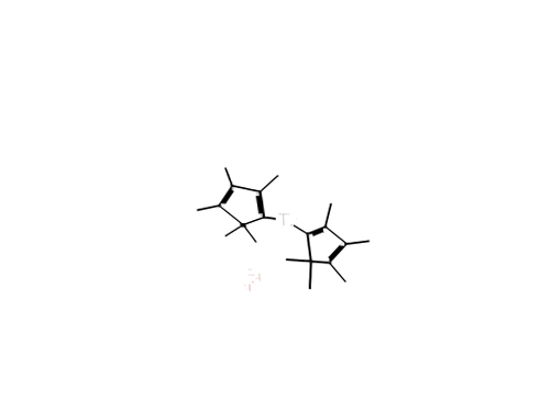 CC1=C(C)C(C)(C)[C]([Ti+2][C]2=C(C)C(C)=C(C)C2(C)C)=C1C.[Br-].[Br-]